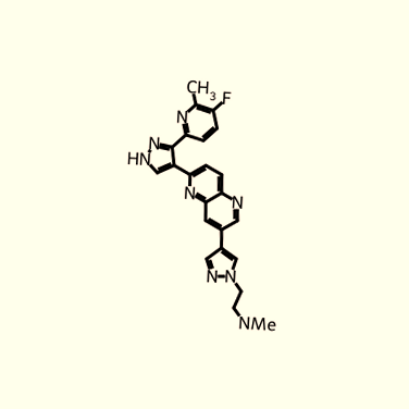 CNCCn1cc(-c2cnc3ccc(-c4c[nH]nc4-c4ccc(F)c(C)n4)nc3c2)cn1